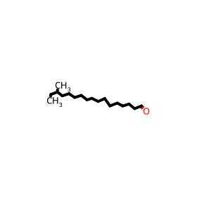 CCC(C)CCCCCCCCCCCCCC=O